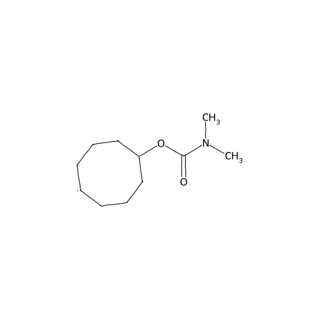 CN(C)C(=O)OC1CCC[CH]CCC1